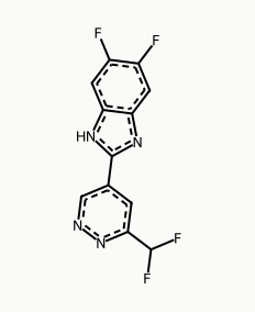 Fc1cc2nc(-c3cnnc(C(F)F)c3)[nH]c2cc1F